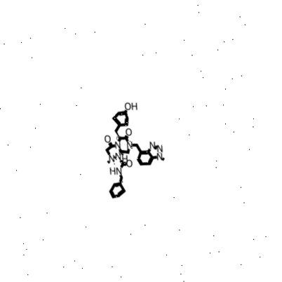 CN1CC(=O)N2[C@@H](Cc3ccc(O)cc3)C(=O)N(Cc3cccc4c3nnn4C)C[C@@H]2N1C(=O)NCc1ccccc1